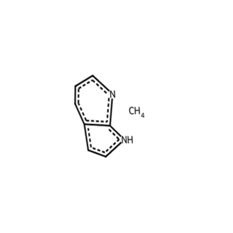 C.c1cnc2[nH]ccc2c1